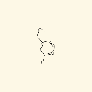 CCc1ccnc(F)c1